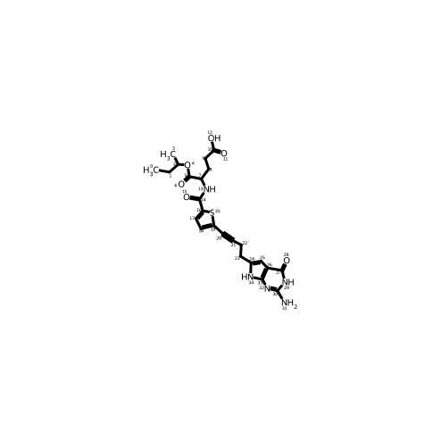 CCC(C)OC(=O)C(CCC(=O)O)NC(=O)c1ccc(C#CCCc2cc3c(=O)[nH]c(N)nc3[nH]2)s1